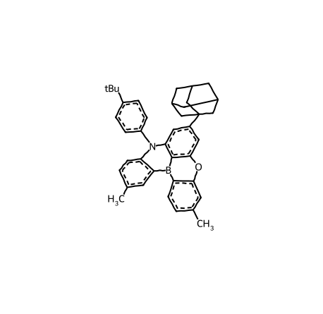 Cc1ccc2c(c1)Oc1cc(C34CC5CC(CC(C5)C3)C4)cc3c1B2c1cc(C)ccc1N3c1ccc(C(C)(C)C)cc1